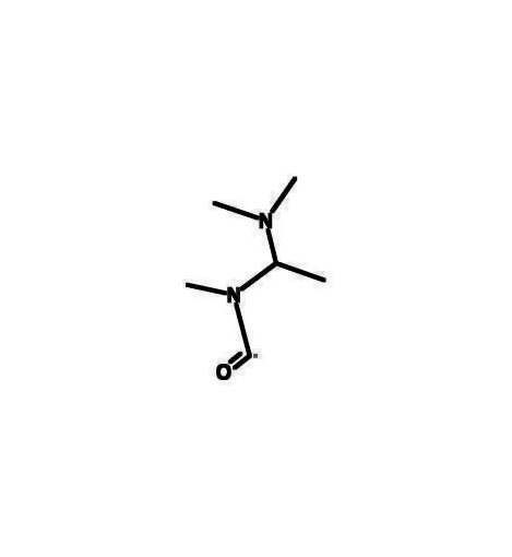 CC(N(C)C)N(C)[C]=O